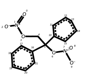 O=[N+]([O-])OCC(O[N+](=O)[O-])(c1ccccc1)c1ccccc1